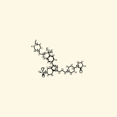 CN1CCN(CCSc2cc(-c3nn(CCCN4CCC(N5CCCC5=O)CC4)c4c3CN(S(C)(=O)=O)CC4)ccc2C(F)(F)F)CC1